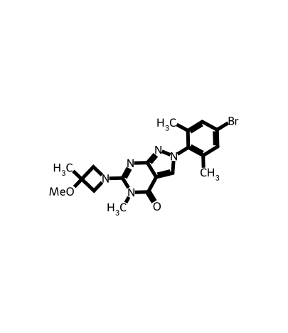 COC1(C)CN(c2nc3nn(-c4c(C)cc(Br)cc4C)cc3c(=O)n2C)C1